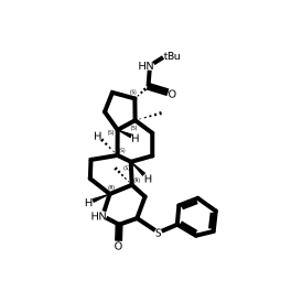 CC(C)(C)NC(=O)[C@H]1CC[C@H]2[C@@H]3CC[C@H]4NC(=O)C(Sc5ccccc5)C[C@]4(C)[C@H]3CC[C@]12C